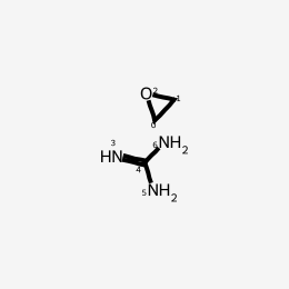 C1CO1.N=C(N)N